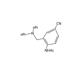 CCCN(CCC)Cc1cc(C#N)ccc1NC(C)=O